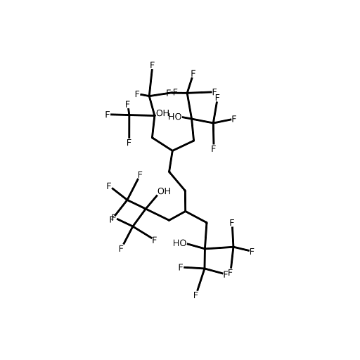 OC(CC(CCC(CC(O)(C(F)(F)F)C(F)(F)F)CC(O)(C(F)(F)F)C(F)(F)F)CC(O)(C(F)(F)F)C(F)(F)F)(C(F)(F)F)C(F)(F)F